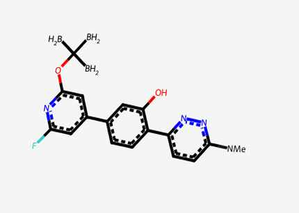 BC(B)(B)Oc1cc(-c2ccc(-c3ccc(NC)nn3)c(O)c2)cc(F)n1